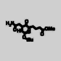 COC(=O)CCCNC(=O)C(CC(N)=O)NC(=O)OC(C)(C)C